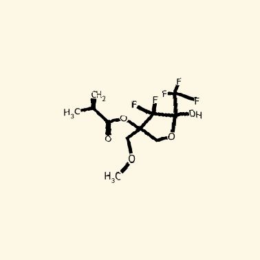 C=C(C)C(=O)OC1(COC)COC(O)(C(F)(F)F)C1(F)F